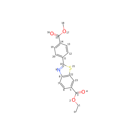 CCOC(=O)c1ccc2nc(-c3ccc(C(=O)OC)cc3)sc2c1